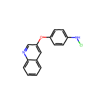 ClNc1ccc(Oc2cnc3ccccc3c2)cc1